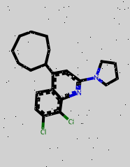 Clc1ccc2c(C3CCCCCCC3)cc(N3CCCC3)nc2c1Cl